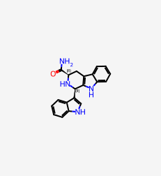 NC(=O)[C@H]1Cc2c([nH]c3ccccc23)[C@@H](c2c[nH]c3ccccc23)N1